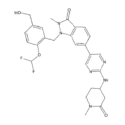 CN1CCC(Nc2ncc(-c3ccc4c(=O)n(C)n(Cc5cc(CO)ccc5OC(F)F)c4c3)cn2)CC1=O